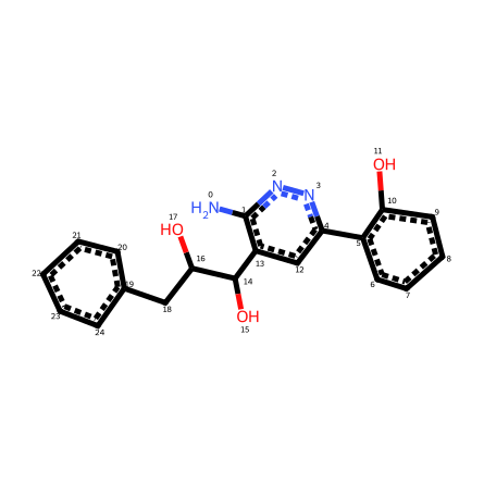 Nc1nnc(-c2ccccc2O)cc1C(O)C(O)Cc1ccccc1